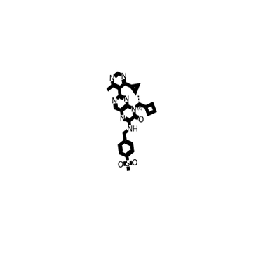 Cc1ncnc(C2CC2)c1-c1ncc2nc(NCc3ccc(S(C)(=O)=O)cc3)c(=O)n([C@H](C)C3CCC3)c2n1